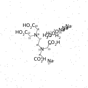 O.O.O.O=C(O)CN(CCN(CC(=O)O)CC(=O)O)CC(=O)O.[Na].[Na].[Na].[Na]